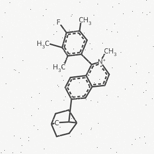 Cc1cc(-c2c3ccc(C4CC5CCC4CC5)cc3cc[n+]2C)c(C)c(C)c1F